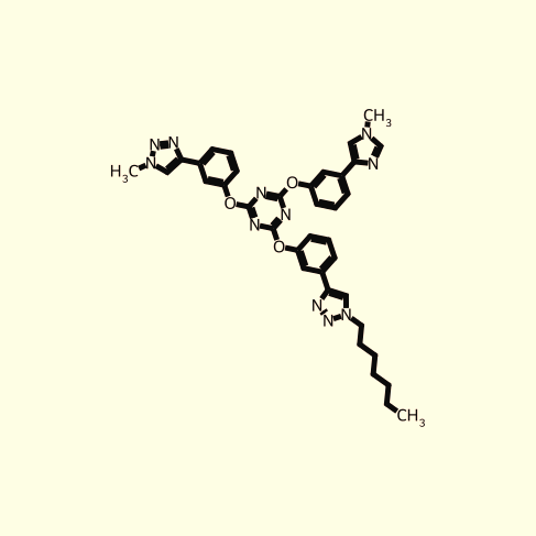 CCCCCCCn1cc(-c2cccc(Oc3nc(Oc4cccc(-c5cn(C)cn5)c4)nc(Oc4cccc(-c5cn(C)nn5)c4)n3)c2)nn1